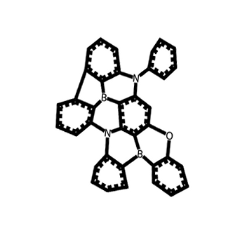 c1ccc(N2c3cccc4c3B3c5c-4cccc5N4c5ccccc5B5c6ccccc6Oc6cc2c3c4c65)cc1